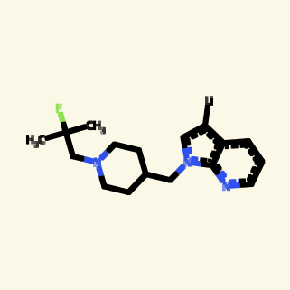 [Li][c]1cn(CC2CCN(CC(C)(C)F)CC2)c2ncccc12